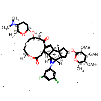 CC[C@H]1CCC[C@H](O[C@H]2CC[C@H](N(C)C)[C@@H](C)O2)[C@@H](C)C(=O)C2=C[C@H]3[C@@H]4C[C@H](O[C@@H]5O[C@@H](C)[C@H](OC)[C@@H](OC)[C@H]5OC)C[C@H]4[C@H]4[C@@H]([C@H]3[C@@H]2CC(=O)O1)N4c1cc(F)cc(F)c1